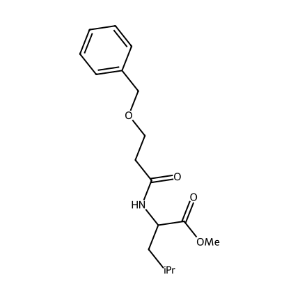 COC(=O)C(CC(C)C)NC(=O)CCOCc1ccccc1